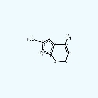 Cc1cc2c([nH]1)CCC=C2C#N